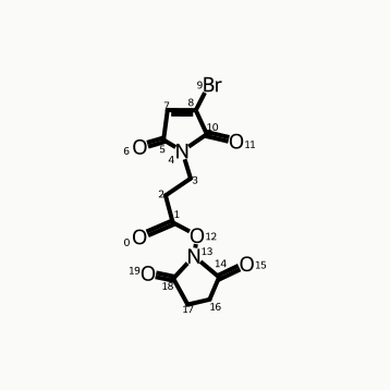 O=C(CCN1C(=O)C=C(Br)C1=O)ON1C(=O)CCC1=O